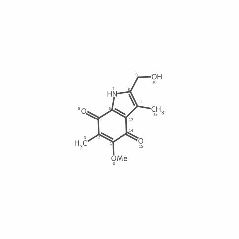 COC1=C(C)C(=O)c2[nH]c(CO)c(C)c2C1=O